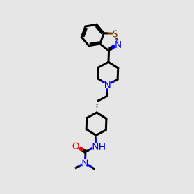 CN(C)C(=O)N[C@H]1CC[C@H](CCN2CCC(c3nsc4ccccc34)CC2)CC1